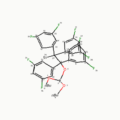 CCCCOB(OCCCC)OC(c1cc(F)cc(F)c1)(c1cc(F)cc(F)c1)C(CC)(c1cc(F)cc(F)c1)c1cc(F)cc(F)c1